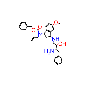 C=CCN(C(=O)OCc1ccccc1)[C@@H]1C[C@H](NC[C@@H](O)[C@@H](N)Cc2ccccc2)c2cc(OC)ccc21